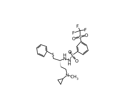 CN(CC[C@H](CSc1ccccc1)NNS(=O)(=O)c1cccc(S(=O)(=O)C(F)(F)F)c1)C1CC1